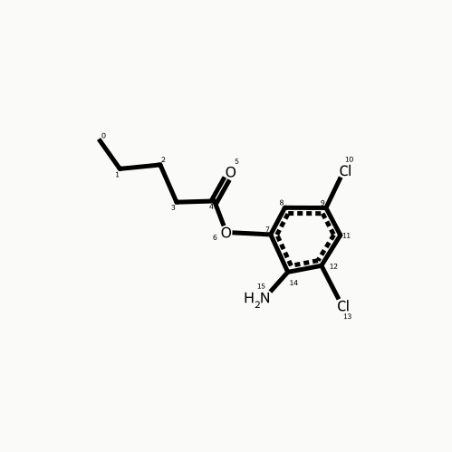 CCCCC(=O)Oc1cc(Cl)cc(Cl)c1N